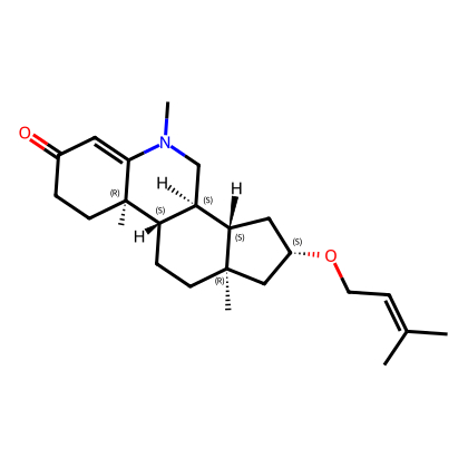 CC(C)=CCO[C@H]1C[C@H]2[C@@H]3CN(C)C4=CC(=O)CC[C@]4(C)[C@H]3CC[C@]2(C)C1